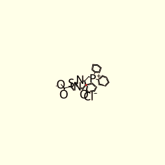 COC(=O)c1cn2c(=O)cc(C[P+](c3ccccc3)(c3ccccc3)c3ccccc3)nc2s1.[Cl-]